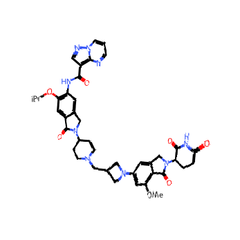 COc1cc(N2CC(CN3CCC(N4Cc5cc(NC(=O)c6cnn7cccnc67)c(OC(C)C)cc5C4=O)CC3)C2)cc2c1C(=O)N(C1CCC(=O)NC1=O)C2